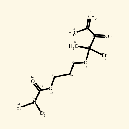 C=C(C)C(=O)C(C)(CC)OCCCOC(=O)N(CC)CC